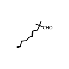 C=CCCCC=CCC(C)(C)C=O